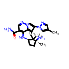 Cc1cnn(-c2cc3c(N[C@@H]4CC[C@](C)(N)C4(C)C)c(C(N)=O)cnn3c2)c1